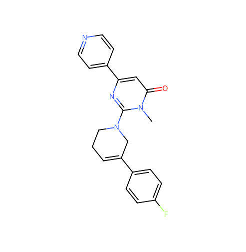 Cn1c(N2CCC=C(c3ccc(F)cc3)C2)nc(-c2ccncc2)cc1=O